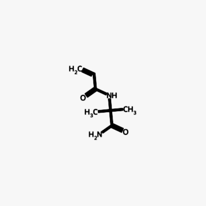 C=CC(=O)NC(C)(C)C(N)=O